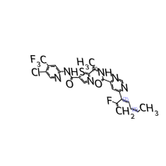 C=C(F)/C(=C\C=C/C)c1cc(C(=O)N[C@H](C)c2ncc(C(=O)Nc3cc(C(F)(F)F)c(Cl)cn3)s2)ncn1